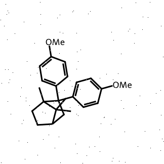 COc1ccc(C2(c3ccc(OC)cc3)CC3CCC2(C)C3(C)C)cc1